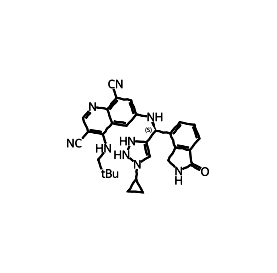 CC(C)(C)CNc1c(C#N)cnc2c(C#N)cc(N[C@H](C3=CN(C4CC4)NN3)c3cccc4c3CNC4=O)cc12